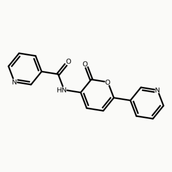 O=C(Nc1ccc(-c2cccnc2)oc1=O)c1cccnc1